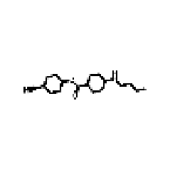 CCCCNC1CCC(C(=O)OC2CCC(C#N)CC2)CC1